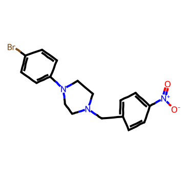 O=[N+]([O-])c1ccc(CN2CCN(c3ccc(Br)cc3)CC2)cc1